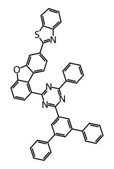 c1ccc(-c2cc(-c3ccccc3)cc(-c3nc(-c4ccccc4)nc(-c4cccc5oc6cc(-c7nc8ccccc8s7)ccc6c45)n3)c2)cc1